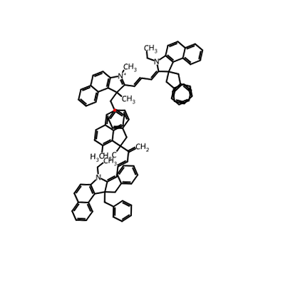 C=C(C=CC=C1N(CC)c2ccc3ccccc3c2C1(Cc1ccccc1)Cc1ccccc1)C(C)(Cc1ccc(CC2(C)C(C=CC=C3N(CC)c4ccc5ccccc5c4C3(Cc3ccccc3)Cc3ccccc3)=[N+](C)c3ccc4ccccc4c32)cc1)c1c(C)ccc2ccccc12